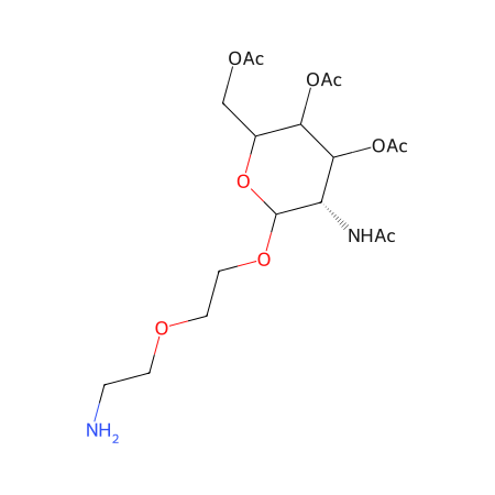 CC(=O)N[C@@H]1C(OCCOCCN)OC(COC(C)=O)C(OC(C)=O)C1OC(C)=O